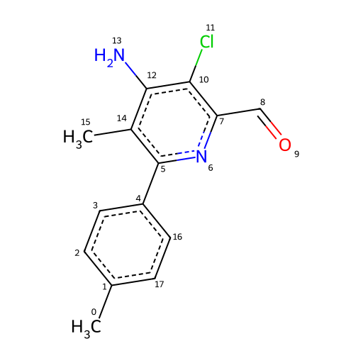 Cc1ccc(-c2nc(C=O)c(Cl)c(N)c2C)cc1